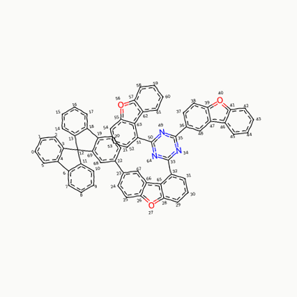 c1ccc2c(c1)-c1ccccc1C21c2ccccc2-c2ccc(-c3ccc4oc5cccc(-c6nc(-c7ccc8oc9ccccc9c8c7)nc(-c7cccc8oc9ccccc9c78)n6)c5c4c3)cc21